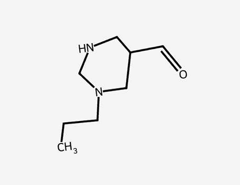 CCCN1CNCC(C=O)C1